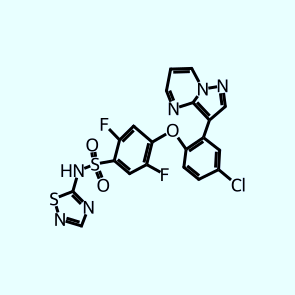 O=S(=O)(Nc1ncns1)c1cc(F)c(Oc2ccc(Cl)cc2-c2cnn3cccnc23)cc1F